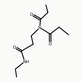 CCNC(=O)CCN(C(=O)CC)C(=O)CC